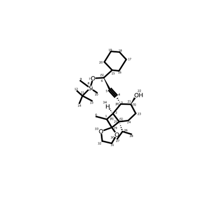 CC1[C@H]2[C@H](C#C[C@@H](O[Si](C)(C)C(C)(C)C)C3CCCCC3)[C@@H](O)CC[C@@]2(C(C)C)C12OCCO2